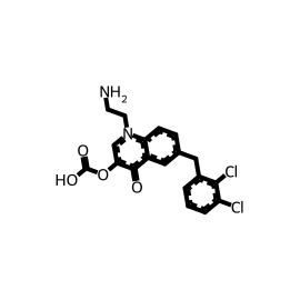 NCCn1cc(OC(=O)O)c(=O)c2cc(Cc3cccc(Cl)c3Cl)ccc21